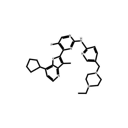 CCN1CCN(Cc2ccc(Nc3ncc(F)c(-c4sc5c(C6CCCC6)ccnc5c4C)n3)nc2)CC1